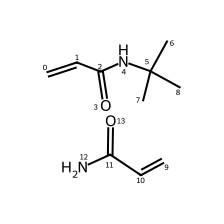 C=CC(=O)NC(C)(C)C.C=CC(N)=O